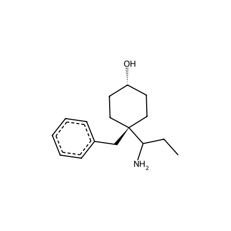 CCC(N)[C@]1(Cc2ccccc2)CC[C@H](O)CC1